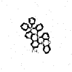 Cc1cc2c3c(c1)N1c4ccccc4Oc4cccc(c41)B3N1c3ccccc3S(c3ccccc3)(c3ccccc3)c3cccc-2c31